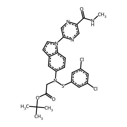 CNC(=O)c1cnc(-n2ccc3cc(N(CC(=O)OC(C)(C)C)Sc4cc(Cl)cc(Cl)c4)ccc32)cn1